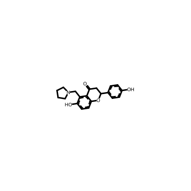 O=C1CC(c2ccc(O)cc2)Oc2ccc(O)c(CN3CCCC3)c21